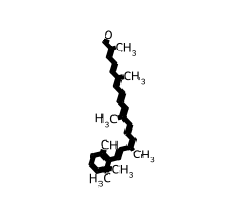 CC1=C(/C=C/C(C)=C\C=C\C(C)=C\C=C\C=C(C)\C=C\C=C(/C)C=O)C(C)(C)CCC1